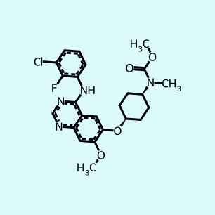 COC(=O)N(C)[C@H]1CC[C@@H](Oc2cc3c(Nc4cccc(Cl)c4F)ncnc3cc2OC)CC1